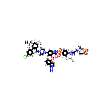 Cc1cc(S(=O)(=O)NC(=O)c2ccc(N3CCN(CC4=C(c5ccc(Cl)cc5)CC(C)(C)CC4)CC3)cc2Oc2cccc3[nH]ccc23)ccc1NCCCN1CCS(=O)(=O)CC1